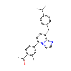 CC(=O)c1ccc(-c2ccc(Cc3ccc(C(C)C)cc3)c3nccn23)cc1C